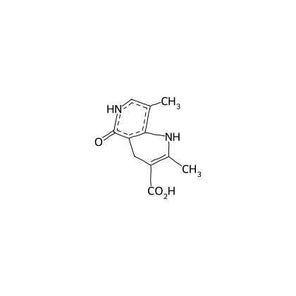 CC1=C(C(=O)O)Cc2c(c(C)c[nH]c2=O)N1